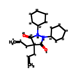 C=CCC1(CC=C)C(=O)N(C2CCCCC2)N(C2CCCCC2)C1=O